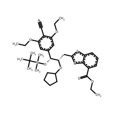 CCOC(=O)c1cccc2sc(C[C@H](OC3CCCC3)[C@H](O[Si](C)(C)C(C)(C)C)c3cc(OCC)c(C#N)c(OCC)c3)nc12